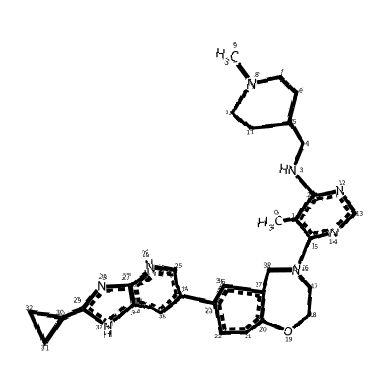 Cc1c(NCC2CCN(C)CC2)ncnc1N1CCOc2ccc(-c3cnc4nc(C5CC5)[nH]c4c3)cc2C1